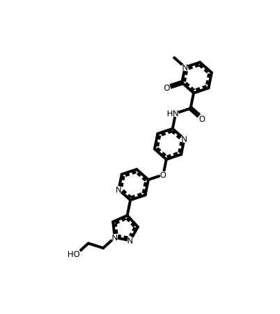 Cn1cccc(C(=O)Nc2ccc(Oc3ccnc(-c4cnn(CCO)c4)c3)cn2)c1=O